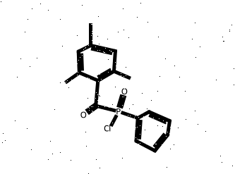 Cc1cc(C)c(C(=O)P(=O)(Cl)c2ccccc2)c(C)c1